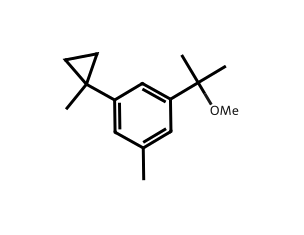 COC(C)(C)c1cc(C)cc(C2(C)CC2)c1